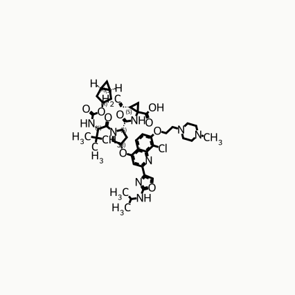 C=C[C@@H]1CC1(NC(=O)[C@@H]1C[C@@H](Oc2cc(-c3coc(NC(C)C)n3)nc3c(Cl)c(OCCN4CCN(C)CC4)ccc23)CN1C(=O)[C@@H](NC(=O)O[C@@H]1C[C@@H]2C[C@@H]2C1)C(C)(C)C)C(=O)O